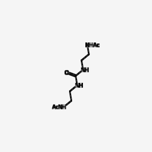 CC(=O)NCCNC(=O)NCCNC(C)=O